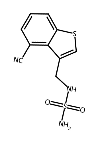 N#Cc1cccc2scc(CNS(N)(=O)=O)c12